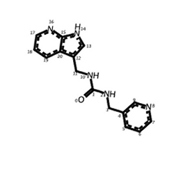 O=C(NCc1cccnc1)NCc1c[nH]c2ncccc12